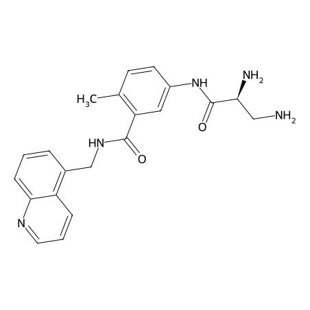 Cc1ccc(NC(=O)[C@@H](N)CN)cc1C(=O)NCc1cccc2ncccc12